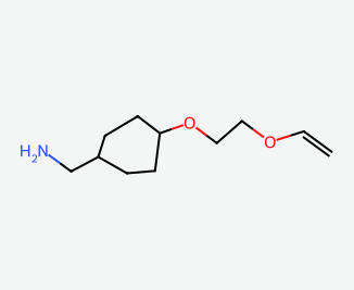 C=COCCOC1CCC(CN)CC1